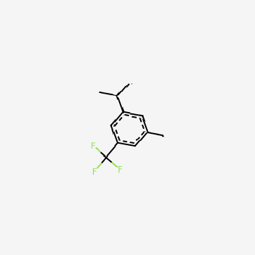 [CH2]C(C)c1cc(C)cc(C(F)(F)F)c1